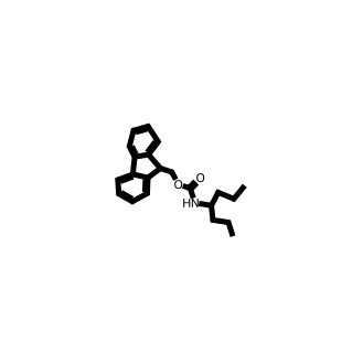 CCCC(CCC)NC(=O)OCC1c2ccccc2-c2ccccc21